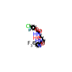 C=CC(CC(O)CNC(=O)COc1ccc(Cl)c(F)c1)NC(=O)c1cc(C(F)(F)F)ccn1